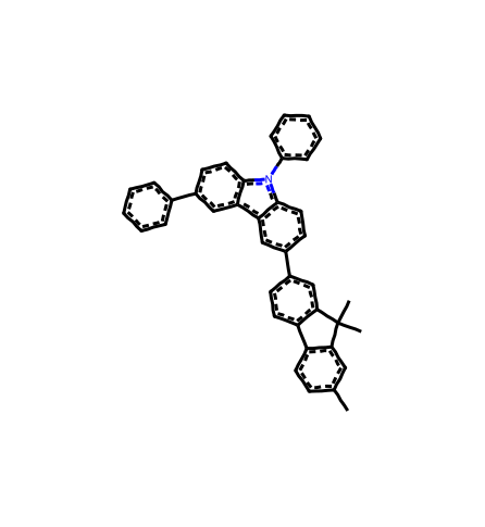 Cc1ccc2c(c1)C(C)(C)c1cc(-c3ccc4c(c3)c3cc(-c5ccccc5)ccc3n4-c3ccccc3)ccc1-2